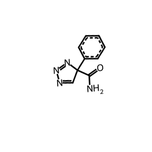 NC(=O)C1(c2ccccc2)C=NN=N1